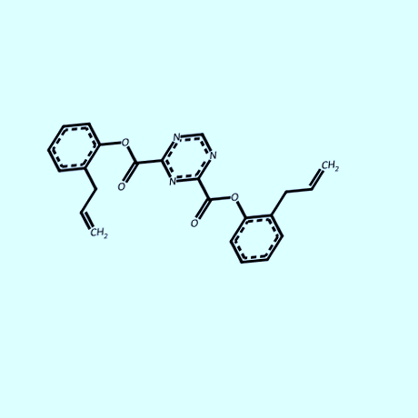 C=CCc1ccccc1OC(=O)c1ncnc(C(=O)Oc2ccccc2CC=C)n1